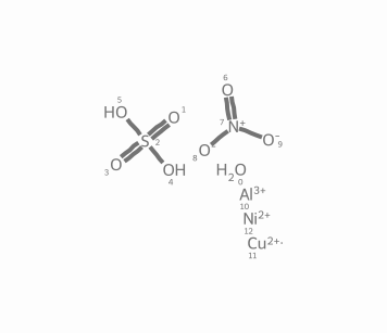 O.O=S(=O)(O)O.O=[N+]([O-])[O-].[Al+3].[Cu+2].[Ni+2]